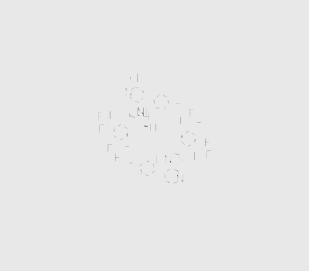 Cc1cc(F)ccc1-c1cc(Cl)ncc1NC(=O)C1(c2cc(C(F)(F)F)cc(C(F)(F)F)c2)CC1.[2H]C1([2H])CC1(C(=O)Nc1cnc(Cl)cc1-c1ccc(F)cc1C)c1cc(C(F)(F)F)cc(C(F)(F)F)c1